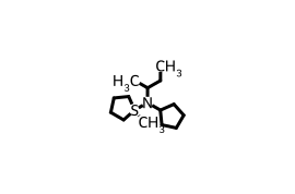 CCC(C)N(C1CCCC1)S1(C)CCCC1